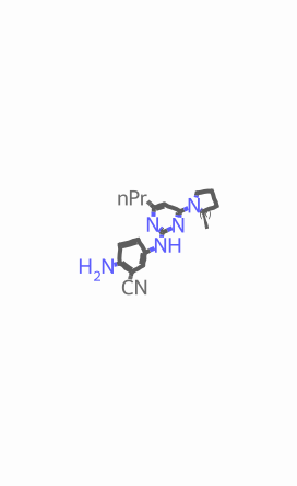 CCCc1cc(N2CCC[C@H]2C)nc(Nc2ccc(N)c(C#N)c2)n1